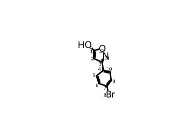 Oc1cc(-c2ccc(Br)cc2)no1